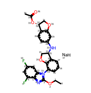 CCOc1nc2c(F)cc(F)cc2n1-c1cccc2c1OC[C@H]2Nc1ccc2c(c1)OC[C@H]2OC(C)=O.[NaH]